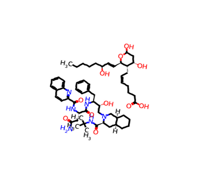 CC(C)(C)NC(=O)[C@@H]1C[C@@H]2CCCC[C@@H]2CN1C[C@@H](O)[C@H](Cc1ccccc1)NC(=O)[C@H](CC(N)=O)NC(=O)c1ccc2ccccc2n1.CCCCC[C@H](O)/C=C/[C@H]1OC(O)C[C@H](O)[C@@H]1C/C=C\CCCC(=O)O